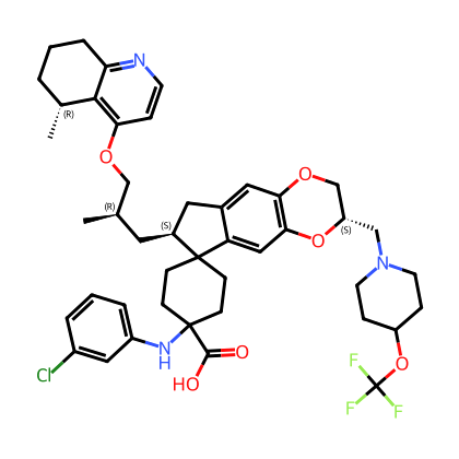 C[C@@H](COc1ccnc2c1[C@H](C)CCC2)C[C@H]1Cc2cc3c(cc2C12CCC(Nc1cccc(Cl)c1)(C(=O)O)CC2)O[C@@H](CN1CCC(OC(F)(F)F)CC1)CO3